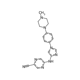 CN1CCN(c2ccc(-n3cnc(Nc4cnc(C#N)cn4)c3)cc2)CC1